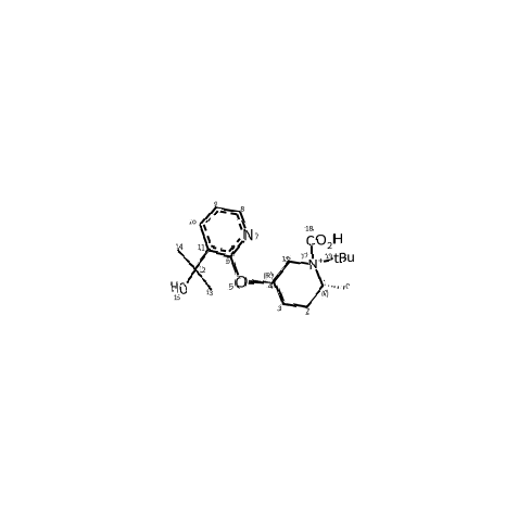 C[C@@H]1CC[C@@H](Oc2ncccc2C(C)(C)O)C[N+]1(C(=O)O)C(C)(C)C